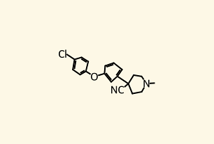 CN1CCC(C#N)(c2cccc(Oc3ccc(Cl)cc3)c2)CC1